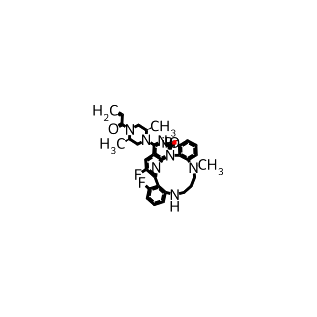 C=CC(=O)N1C[C@H](C)N(c2nc(=O)n3c4nc(c(F)cc24)-c2c(F)cccc2NCCCN(C)c2cccc(C(C)C)c2-3)C[C@H]1C